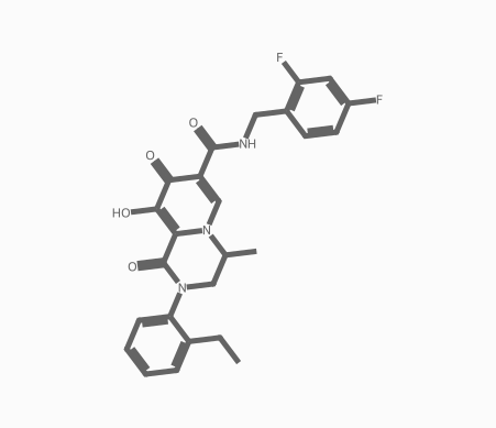 CCc1ccccc1N1CC(C)n2cc(C(=O)NCc3ccc(F)cc3F)c(=O)c(O)c2C1=O